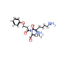 C[C@@H]([C]=O)N(C(=O)CCOc1ccccc1)C(=O)[C@@H](N)CCCCN